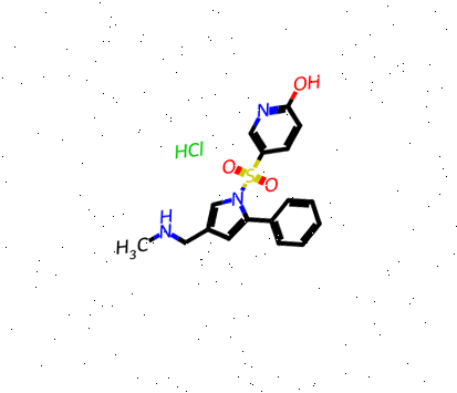 CNCc1cc(-c2ccccc2)n(S(=O)(=O)c2ccc(O)nc2)c1.Cl